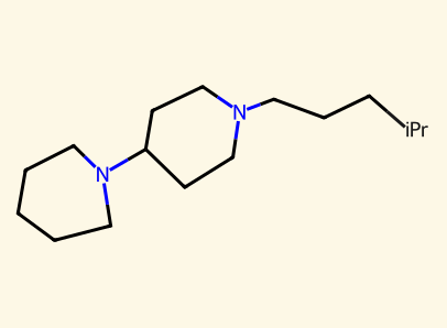 CC(C)CCCN1CCC(N2CCCCC2)CC1